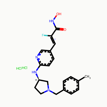 Cc1ccc(CN2CC[C@@H](Nc3ccc(/C=C(\F)C(=O)NO)cn3)C2)cc1.Cl.Cl